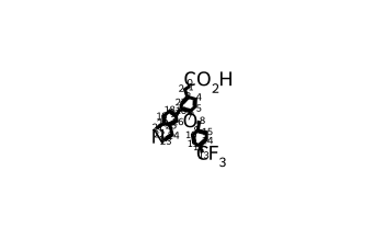 O=C(O)CCc1ccc(OCc2ccc(C(F)(F)F)cc2)c(-c2ccc3cnccc3c2)c1